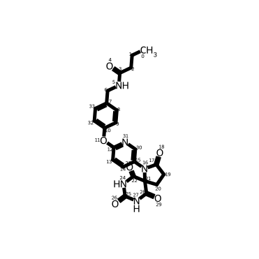 CCCC(=O)NCc1ccc(Oc2ccc(N3C(=O)CCC34C(=O)NC(=O)NC4=O)cn2)cc1